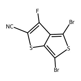 N#Cc1sc2c(Br)sc(Br)c2c1F